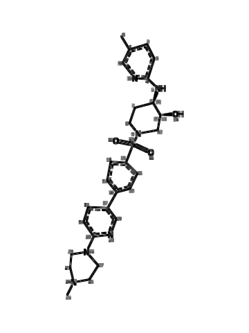 Cc1ccc(N[C@@H]2CCN(S(=O)(=O)c3ccc(-c4ccc(N5CCN(C)CC5)nc4)cc3)C[C@@H]2O)nc1